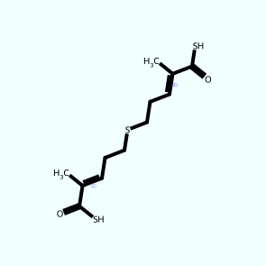 C/C(=C\CCSCC/C=C(\C)C(=O)S)C(=O)S